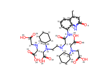 Cc1cc(=O)[nH]c2c(NC(=O)CN(CCN(CC(=O)O)[C@@H]3CCCC[C@H]3N(CC(=O)O)CC(=O)O)[C@H]3CCCC[C@@H]3N(CC(=O)O)CC(=O)O)cccc12